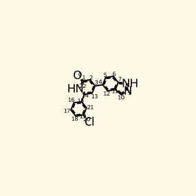 O=c1cc(-c2ccc3[nH]ncc3c2)cc(-c2cccc(Cl)c2)[nH]1